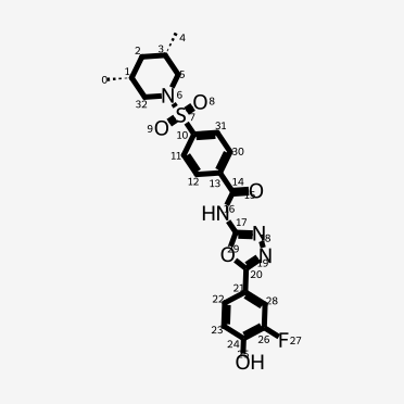 C[C@@H]1C[C@H](C)CN(S(=O)(=O)c2ccc(C(=O)Nc3nnc(-c4ccc(O)c(F)c4)o3)cc2)C1